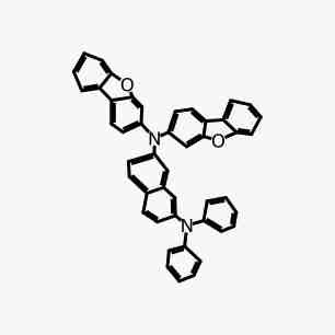 c1ccc(N(c2ccccc2)c2ccc3ccc(N(c4ccc5c(c4)oc4ccccc45)c4ccc5c(c4)oc4ccccc45)cc3c2)cc1